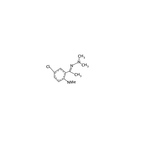 CNc1ccc(Cl)cc1/C(C)=N/N(C)C